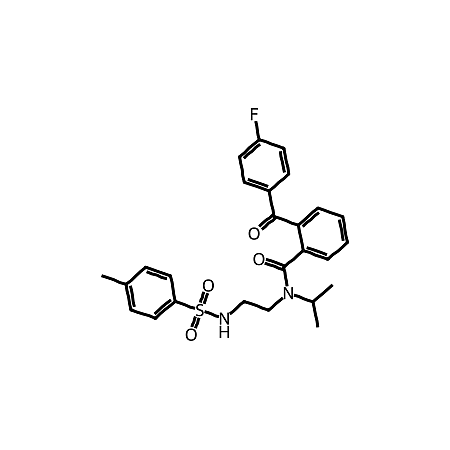 Cc1ccc(S(=O)(=O)NCCN(C(=O)c2ccccc2C(=O)c2ccc(F)cc2)C(C)C)cc1